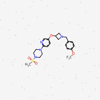 CS(=O)(=O)N1CCN(c2ccc(OC3CN(Cc4ccc(OC(F)(F)F)cc4)C3)cn2)CC1